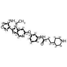 CCn1c(-c2nonc2N)nc2cnc(Oc3cccc(NC(=O)CCC4CCNCC4)c3)cc21